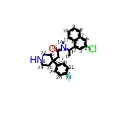 CC(c1cc(Cl)cc2ccccc12)N(C)C(=O)CC1(c2ccc(F)cc2)CCNCC1